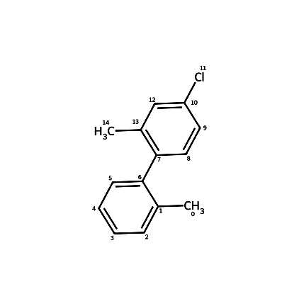 Cc1ccccc1-c1ccc(Cl)cc1C